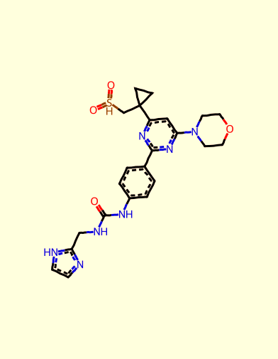 O=C(NCc1ncc[nH]1)Nc1ccc(-c2nc(N3CCOCC3)cc(C3(C[SH](=O)=O)CC3)n2)cc1